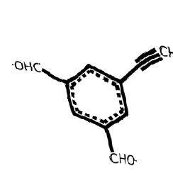 C#Cc1cc([C]=O)cc([C]=O)c1